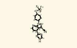 N#Cc1nn(-c2ccc(OC(F)(F)F)cc2)c2nccc(-c3nc[nH]n3)c12